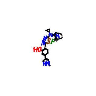 Cn1cc(-c2ccc(-c3nnc(N(C4CC4)[C@H]4CC5CCC(N5)[C@H]4F)s3)c(O)c2)cn1